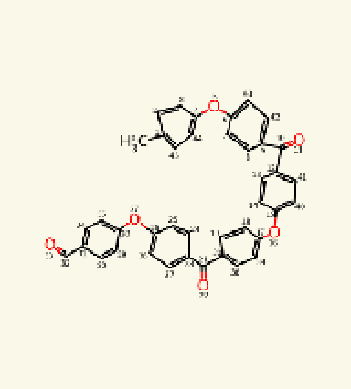 Cc1ccc(Oc2ccc(C(=O)c3ccc(Oc4ccc(C(=O)c5ccc(Oc6ccc(C=O)cc6)cc5)cc4)cc3)cc2)cc1